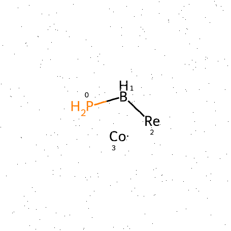 P[BH][Re].[Co]